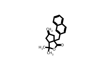 C=C1CC2C(C)(C)OC(=O)C2(Cc2ccc3ccccc3c2)C1